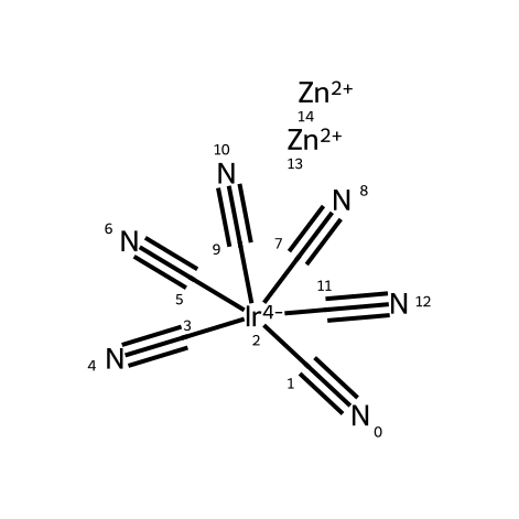 N#[C][Ir-4]([C]#N)([C]#N)([C]#N)([C]#N)[C]#N.[Zn+2].[Zn+2]